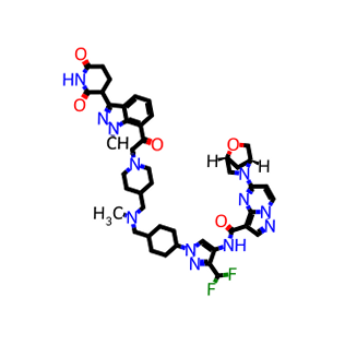 CN(CC1CCC(n2cc(NC(=O)c3cnn4ccc(N5C[C@H]6C[C@@H]5CO6)nc34)c(C(F)F)n2)CC1)CC1CCN(CC(=O)c2cccc3c(C4CCC(=O)NC4=O)nn(C)c23)CC1